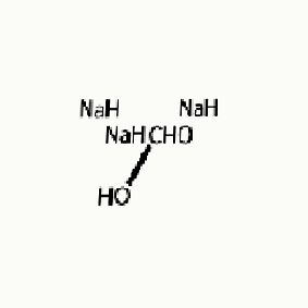 O=CO.[NaH].[NaH].[NaH]